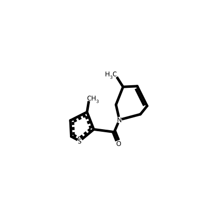 Cc1ccsc1C(=O)N1CC=CC(C)C1